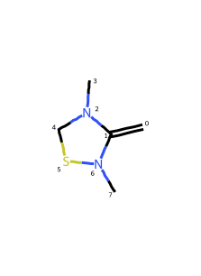 C=C1N(C)CSN1C